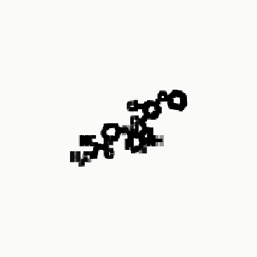 C/C=C(\C#N)C(=O)N1CCCC(Nc2ncnc3[nH]cc(C(=O)c4ccc(Oc5ccccc5)cc4Cl)c23)C1